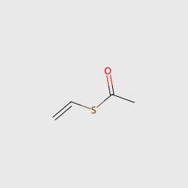 C=CSC(C)=O